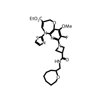 CCOC(=O)C1=CN(c2nccs2)c2nc(N3CC(C(=O)NCC4CCCCCCO4)C3)c(F)c(OC)c2OC1